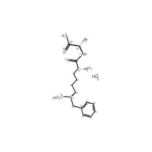 CC(C)[C@H](NC(=O)[C@H](N)CCCCN(Cc1ccccc1)C(=O)O)C(N)=O.Cl